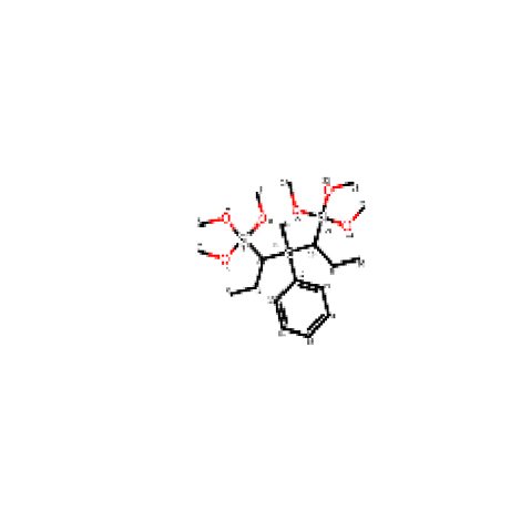 CCC([Si](OC)(OC)OC)[Si](C)(c1ccccc1)C(CC)[Si](OC)(OC)OC